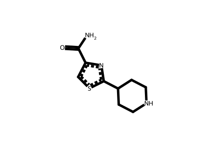 NC(=O)c1csc(C2CCNCC2)n1